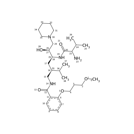 COCCCOc1ccccc1C(=O)NC[C@@H](C[C@H](NC(=O)C(N)C(C)C)[C@@H](O)CN1CCCCC1)C(C)C